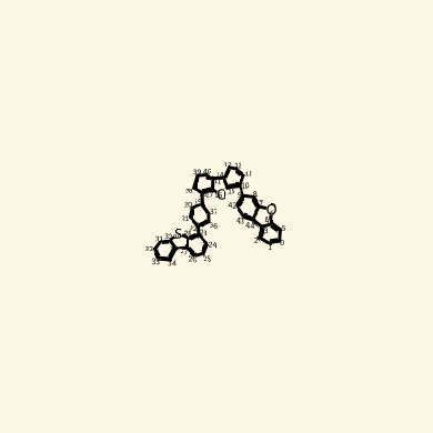 c1ccc2c(c1)oc1cc(-c3cccc4c3oc3c(-c5ccc(-c6cccc7c6sc6ccccc67)cc5)cccc34)ccc12